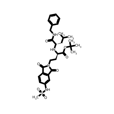 CC(C)C[C@H](N[C@H](CCN1C(=O)c2ccc(NS(C)(=O)=O)cc2C1=O)C(=O)OC(C)(C)C)C(=O)NCc1ccccc1